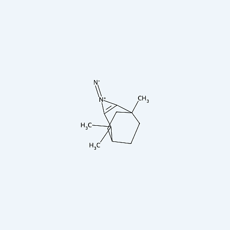 CC12CCC(CC1)C(C)(C)C1=C2[N+]1=[N-]